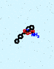 NC(=O)O[C@H]1c2ccccc2CCN1S(=O)(=O)CCc1ccc(-c2ccccc2)cc1